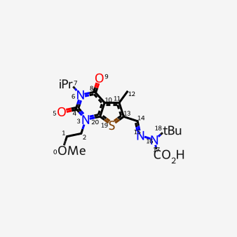 COCCn1c(=O)n(C(C)C)c(=O)c2c(C)c(C=NN(C(=O)O)C(C)(C)C)sc21